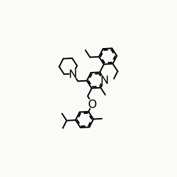 CCc1cccc(CC)c1-c1cc(CN2CCCCC2)c(COc2cc(C(C)C)ccc2C)c(C)n1